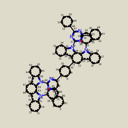 c1ccc(-c2cc(-c3ccc(-c4cc5c6ccccc6n(-c6ccccc6)c5c5c4c4ccccc4n5-c4nc(-c5ccccc5)nc(-c5ccccc5)n4)cc3)nc(-n3c4ccccc4c4ccc5c6ccccc6n(-c6ccccc6)c5c43)n2)cc1